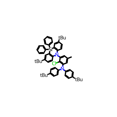 Cc1cc(N(c2ccc(C(C)(C)C)cc2)c2ccc(C(C)(C)C)cc2)c(Cl)c(N2c3ccc(C(C)(C)C)cc3[Si](c3ccccc3)(c3ccccc3)c3cc(C(C)(C)C)ccc32)c1